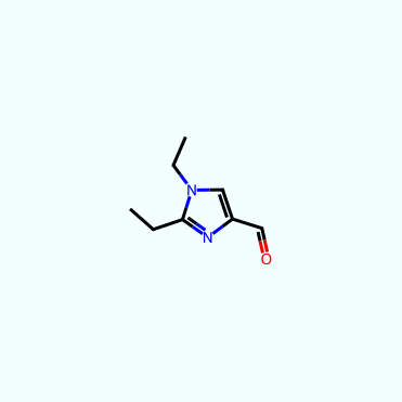 CCc1nc(C=O)cn1CC